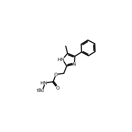 Cc1[nH]c(COC(=O)NC(C)(C)C)nc1-c1ccccc1